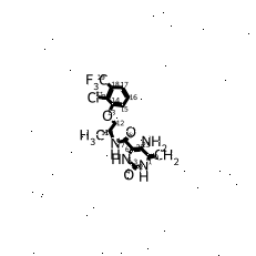 C=C1NC(=O)NC(C(=O)N[C@H](C)COc2cccc(C(F)(F)F)c2Cl)=C1N